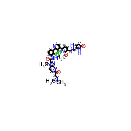 COc1nc(-c2ccnc(-c3cccc(NC(=O)c4nc5c(n4C)CCN(C(=O)CCN(C)C)C5)c3Cl)c2Cl)ccc1CNC[C@@H]1CCC(=O)N1